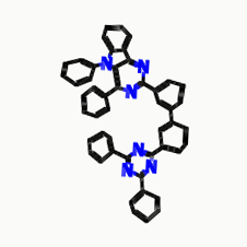 c1ccc(-c2nc(-c3ccccc3)nc(-c3cccc(-c4cccc(-c5nc(-c6ccccc6)c6c(n5)c5ccccc5n6-c5ccccc5)c4)c3)n2)cc1